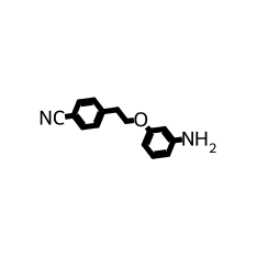 N#Cc1ccc(CCOc2cccc(N)c2)cc1